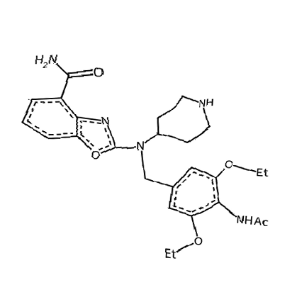 CCOc1cc(CN(c2nc3c(C(N)=O)[c]ccc3o2)C2CCNCC2)cc(OCC)c1NC(C)=O